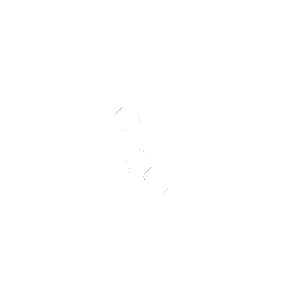 CCCCCOc1ccc(-c2ccc([C@@H]3CC[C@@H](CCC)CC3=O)cc2)cc1